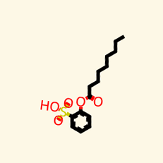 CCCCCCCCC(=O)Oc1ccccc1S(=O)(=O)O